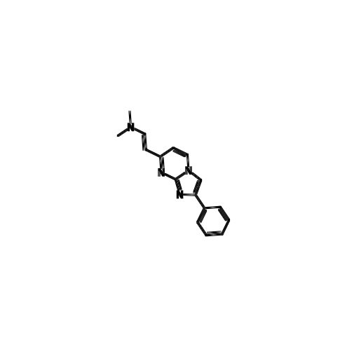 CN(C)C=Cc1ccn2cc(-c3ccccc3)nc2n1